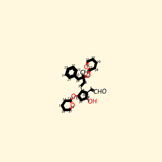 CC(CC[C@@H]1[C@@H](CC=O)[C@@H](O)C[C@H]1OC1CCCCO1)(Cc1ccccc1)OC1CCCCO1